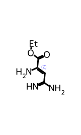 CCOC(=O)/C(N)=C/C(=N)N